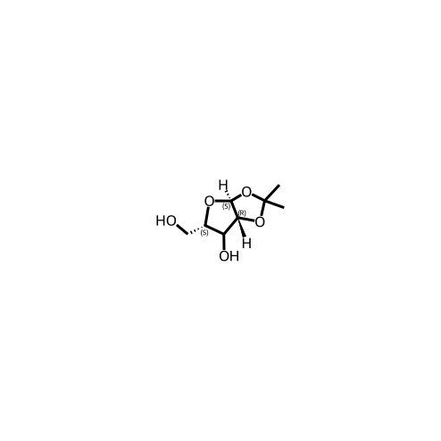 CC1(C)O[C@@H]2O[C@@H](CO)C(O)[C@H]2O1